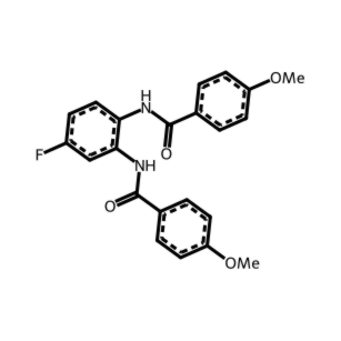 COc1ccc(C(=O)Nc2ccc(F)cc2NC(=O)c2ccc(OC)cc2)cc1